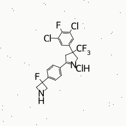 Cl.Fc1c(Cl)cc(C2(C(F)(F)F)CN=C(c3ccc(C4(F)CNC4)cc3)C2)cc1Cl